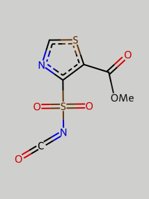 COC(=O)c1scnc1S(=O)(=O)N=C=O